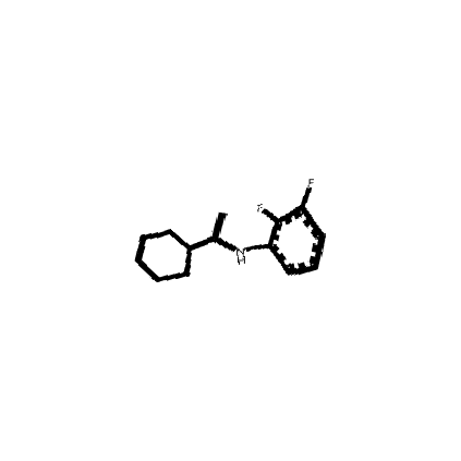 CC(Nc1cccc(F)c1F)C1CCCCC1